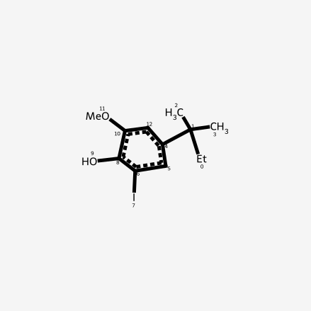 CCC(C)(C)c1cc(I)c(O)c(OC)c1